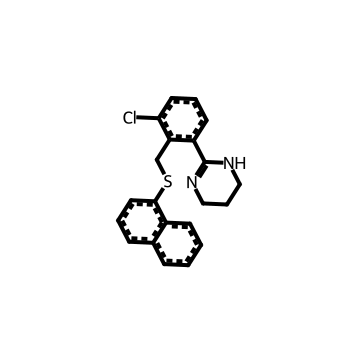 Clc1cccc(C2=NCCCN2)c1CSc1cccc2ccccc12